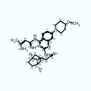 COC1CCN(c2ccc3c(NC(=N)/C=C(/C)N)nc(N[C@@H]4C[C@H]5CC[C@@H](C4)N5CCC#N)nc3c2)CC1